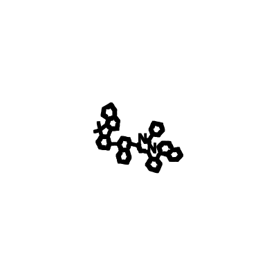 CC1(C)c2cccc(-c3ccc(-c4cc(-c5ccccc5-c5cccc6ccccc56)nc(-c5ccccc5)n4)c4ccccc34)c2-c2ccc3ccccc3c21